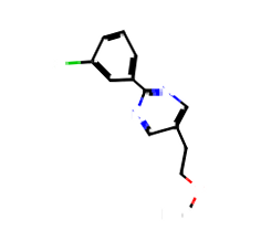 COCCc1cnc(-c2cccc(Cl)c2)nc1